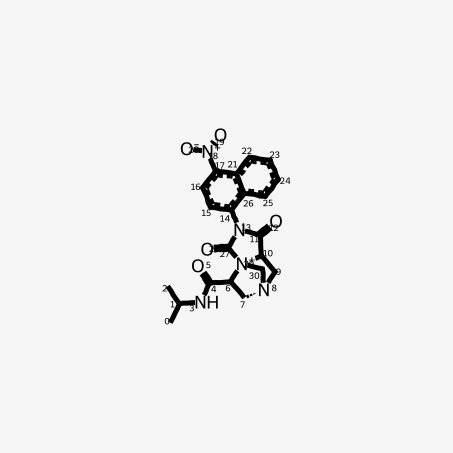 CC(C)NC(=O)C1C[N@@]2CC3C(=O)N(c4ccc([N+](=O)[O-])c5ccccc45)C(=O)[N+]13C2